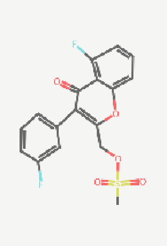 CS(=O)(=O)OCc1oc2cccc(F)c2c(=O)c1-c1cccc(F)c1